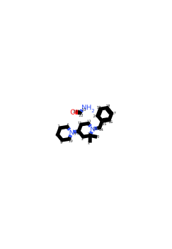 CC1(C)CC(N2CCCCC2)CCN1Cc1ccccc1.NC=O